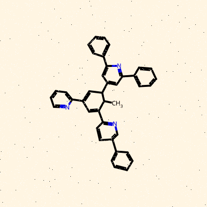 CC1C(c2ccc(-c3ccccc3)cn2)=CC(c2ccccn2)=CC1c1cc(-c2ccccc2)nc(-c2ccccc2)c1